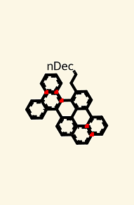 CCCCCCCCCCCCc1ccc(-c2ccccc2)c(-c2c(-c3cccc4ccccc34)ccc3ccccc23)c1Cc1ccccc1